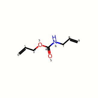 C=C[CH]OC(=O)NCC=C